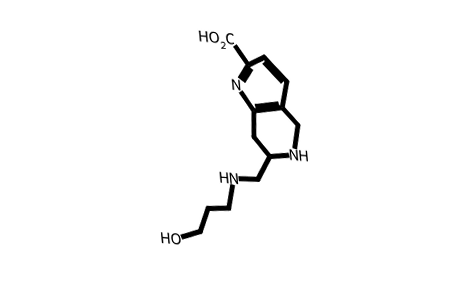 O=C(O)c1ccc2c(n1)CC(CNCCCO)NC2